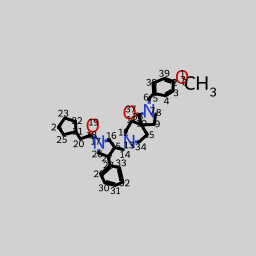 COc1ccc(CN2CCC3(CCN(CC4CN(C(=O)CC5CCCC5)CC4c4ccccc4)CC3)C2=O)cc1